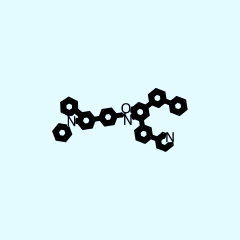 c1ccc(-c2cccc(-c3cc(-c4cccc(-c5cccnc5)c4)c4nc(-c5ccc(-c6ccc7c(c6)c6ccccc6n7-c6ccccc6)cc5)oc4c3)c2)cc1